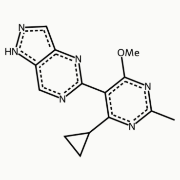 COc1nc(C)nc(C2CC2)c1-c1ncc2[nH]ncc2n1